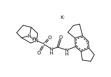 CC(C)N1C2CCC1CN(S(=O)(=O)NC(=O)Nc1c3c(cc4c1CCC4)CCC3)C2.[K]